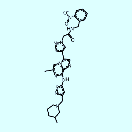 Cc1cn2c(-c3cnn(CC(=O)NCc4ccccc4[N+](=O)[O-])c3)cnc2c(Nc2cc(CN3CCCC(C)C3)ns2)n1